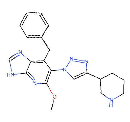 COc1nc2[nH]cnc2c(Cc2ccccc2)c1-n1cc(C2CCCNC2)nn1